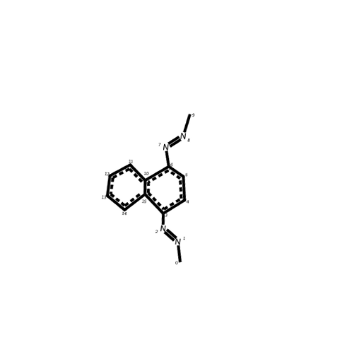 CN=Nc1ccc(N=NC)c2ccccc12